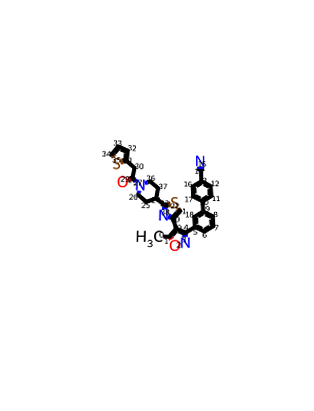 Cc1onc(-c2cccc(-c3ccc(C#N)cc3)c2)c1-c1csc(C2CCN(C(=O)Cc3cccs3)CC2)n1